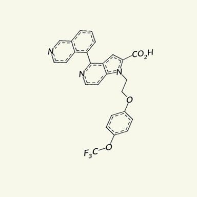 O=C(O)c1cc2c(-c3cccc4cnccc34)nccc2n1CCOc1ccc(OC(F)(F)F)cc1